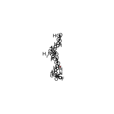 CNCCn1c([C@@]23CC[C@]4(C)[C@H](CC[C@@H]5[C@@]6(C)CC[C@H](OC(=O)CC(C)(C)C(=O)Oc7cc(-n8c(=O)c(C)c([C@@]9%10CC[C@]%11(C)[C@H](CC[C@@H]%12[C@@]%13(C)CC[C@H](OC(=O)CC(C)(C)C(=O)O)C(C)(C)[C@@H]%13CC[C@]%12%11C)C9=C(C(C)C)C(=O)C%10)n8CCN)ccc7F)C(C)(C)[C@@H]6CC[C@]54C)C2=C(C(C)C)C(=O)C3)c(C)c(=O)n1-c1ccc(F)cc1